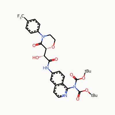 CC(C)(C)OC(=O)N(C(=O)OC(C)(C)C)c1nccc2cc(NC(=O)[C@H](O)[C@H]3OCCN(c4ccc(C(F)(F)F)cc4)C3=O)ccc12